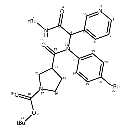 CC(C)(C)NC(=O)C(c1cccnc1)N(C(=O)C1CCN(C(=O)OC(C)(C)C)C1)c1ccc(C(C)(C)C)cc1